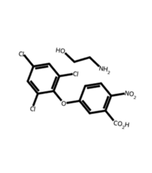 NCCO.O=C(O)c1cc(Oc2c(Cl)cc(Cl)cc2Cl)ccc1[N+](=O)[O-]